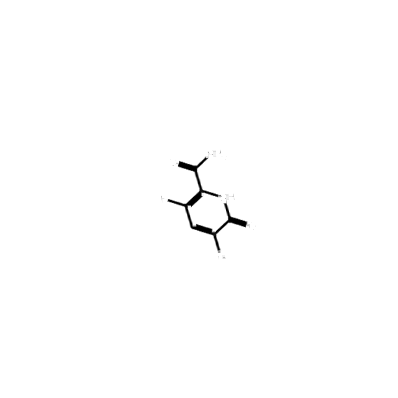 NC(=O)c1[nH]c(=O)c(Br)cc1F